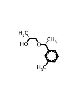 Cc1[c]c([C@@H](C)OC[C@@H](C)O)ccc1